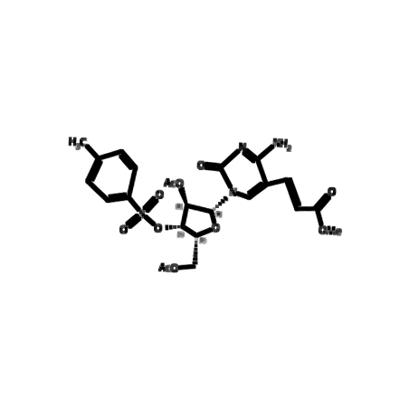 COC(=O)C=Cc1cn([C@@H]2O[C@H](COC(C)=O)[C@H](OS(=O)(=O)c3ccc(C)cc3)[C@H]2OC(C)=O)c(=O)nc1N